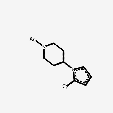 CC(=O)N1CCC(n2cccc2Cl)CC1